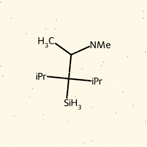 CNC(C)C([SiH3])(C(C)C)C(C)C